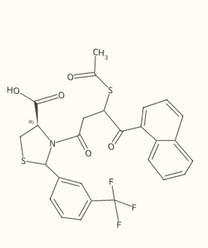 CC(=O)SC(CC(=O)N1C(c2cccc(C(F)(F)F)c2)SC[C@H]1C(=O)O)C(=O)c1cccc2ccccc12